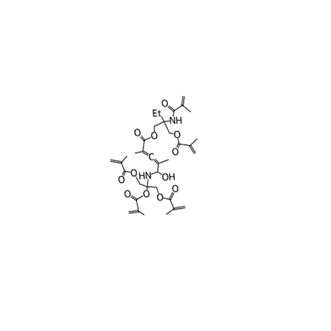 C=C(C)C(=O)NC(CC)(COC(=O)C(=C)C)COC(=O)C(C)=C=C(C)C(O)NC(COC(=O)C(=C)C)(COC(=O)C(=C)C)OC(=O)C(=C)C